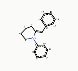 C(=C1CCCCN1c1ccccc1)c1ccccc1